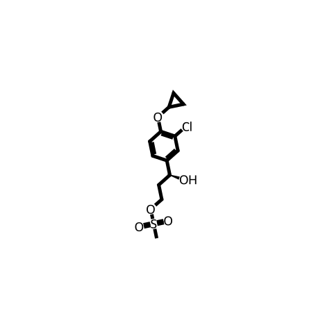 CS(=O)(=O)OCC[C@H](O)c1ccc(OC2CC2)c(Cl)c1